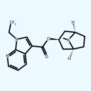 CN1[C@@H]2CC[C@H]1C[C@@H](OC(=O)c1cn(CC(F)(F)F)c3ncccc13)C2